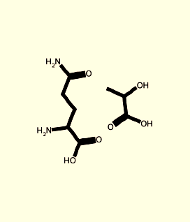 CC(O)C(=O)O.NC(=O)CCC(N)C(=O)O